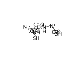 CCC(CC(C)(C(=O)NCCS)C(CC)C(C)(CC)CC(C)(C(=O)NCCC[N+](C)(C)CCCS(=O)(=O)O)C(C)(S)CC)C(C)(C)C#N